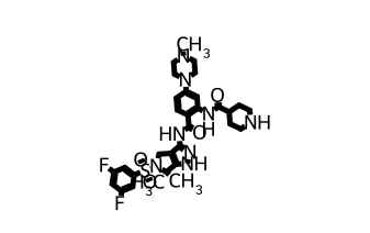 CN1CCN(c2ccc(C(=O)Nc3n[nH]c4c3CN(S(=O)(=O)c3cc(F)cc(F)c3)C4(C)C)c(NC(=O)C3CCNCC3)c2)CC1